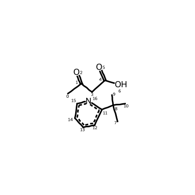 CC(=O)CC(=O)O.CC(C)(C)c1ccccn1